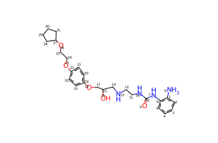 Nc1ccccc1NC(=O)NCCNCC(O)COc1ccc(OCCOC2CCCC2)cc1